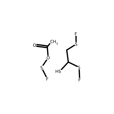 CC(=O)OSF.FSCC(S)SF